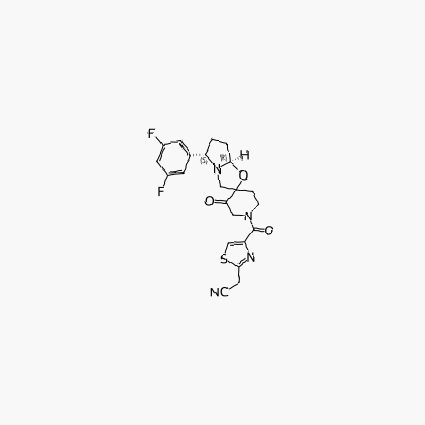 N#CCc1nc(C(=O)N2CCC3(CN4[C@@H](CC[C@H]4c4cc(F)cc(F)c4)O3)C(=O)C2)cs1